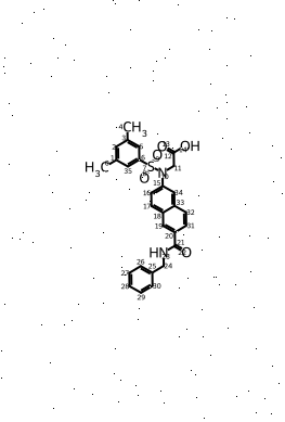 Cc1cc(C)cc(S(=O)(=O)N(CC(=O)O)c2ccc3cc(C(=O)NCc4ccccc4)ccc3c2)c1